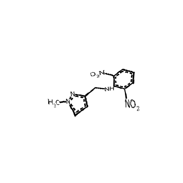 Cn1ccc(CNc2c([N+](=O)[O-])cccc2[N+](=O)[O-])n1